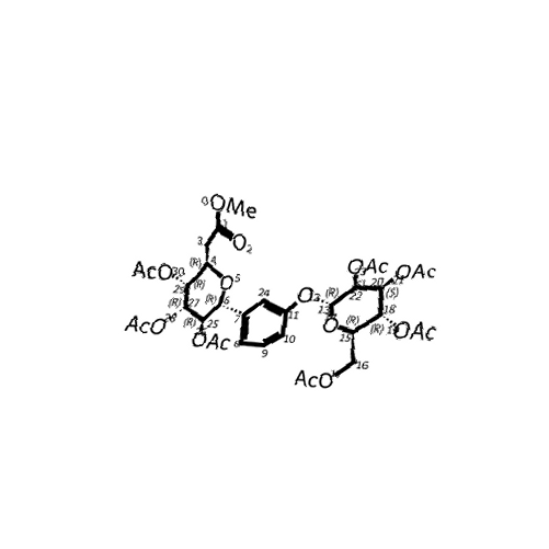 COC(=O)C[C@H]1O[C@H](c2cccc(O[C@H]3O[C@H](COC(C)=O)[C@@H](OC(C)=O)[C@H](OC(C)=O)[C@@H]3OC(C)=O)c2)[C@@H](OC(C)=O)[C@H](OC(C)=O)[C@@H]1OC(C)=O